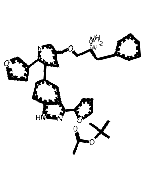 CC(=O)OC(C)(C)C.N[C@@H](COc1cnc(-c2ccoc2)c(-c2ccc3[nH]nc(-c4ccco4)c3c2)c1)Cc1ccccc1